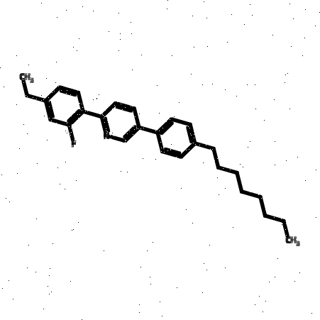 CCCCCCCCc1ccc(-c2ccc(-c3ccc(CC)cc3F)nc2)cc1